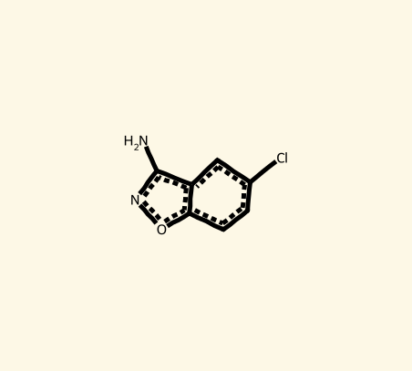 Nc1noc2ccc(Cl)cc12